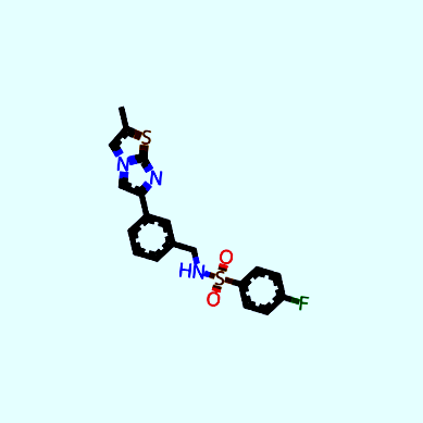 Cc1cn2cc(-c3cccc(CNS(=O)(=O)c4ccc(F)cc4)c3)nc2s1